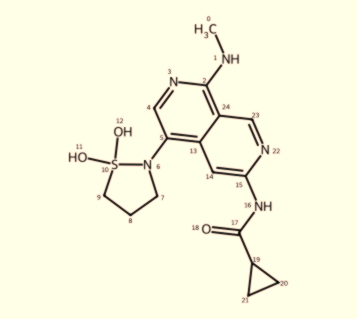 CNc1ncc(N2CCCS2(O)O)c2cc(NC(=O)C3CC3)ncc12